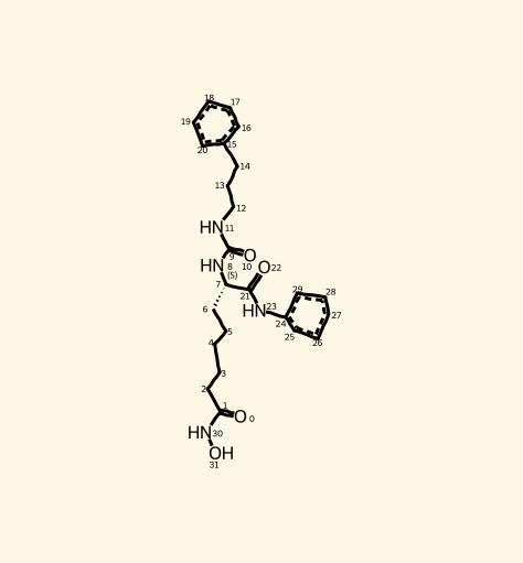 O=C(CCCCC[C@H](NC(=O)NCCCc1ccccc1)C(=O)Nc1ccccc1)NO